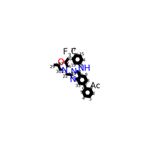 CC(=O)c1ccccc1-c1ccc2c(Nc3ccc(C(F)(F)F)cc3)nc(CN3CC(C)OC(C)C3)nc2c1